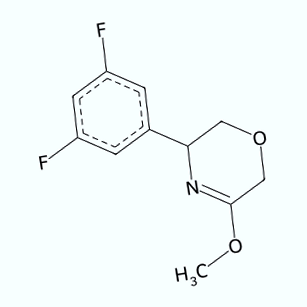 COC1=NC(c2cc(F)cc(F)c2)COC1